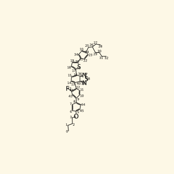 CCCCOc1ccc(-c2ccc(-c3ccc(-c4ccc(-c5ccc(CC(CC)CCCC)cc5)s4)c4nsnc34)c(F)c2)cc1